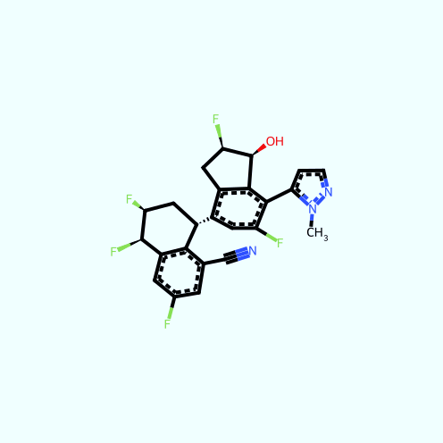 Cn1nccc1-c1c(F)cc([C@H]2C[C@H](F)[C@H](F)c3cc(F)cc(C#N)c32)c2c1[C@H](O)[C@H](F)C2